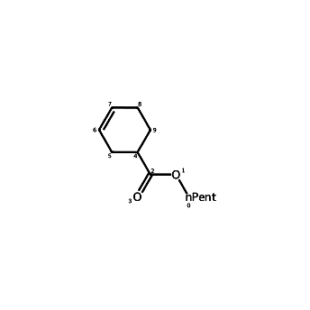 CCCCCOC(=O)C1CC=CCC1